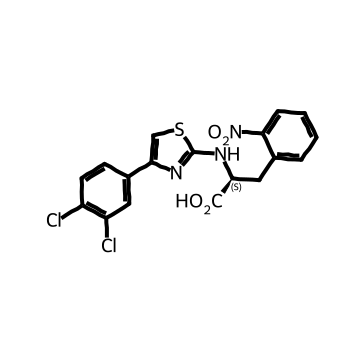 O=C(O)[C@H](Cc1ccccc1[N+](=O)[O-])Nc1nc(-c2ccc(Cl)c(Cl)c2)cs1